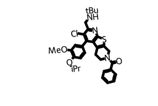 COc1cc(-c2c(Cl)c(CNC(C)(C)C)nc3sc4c(c23)CCN(C(=O)c2ccccc2)C4)ccc1OC(C)C